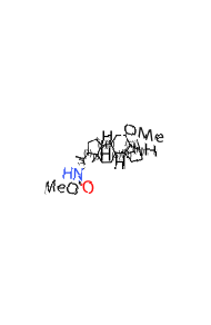 COC(=O)NC[C@@H](C)[C@H]1CC[C@H]2[C@@H]3CC(OC)[C@@]45C[C@H]4CC[C@]5(C)[C@H]3CC[C@]12C